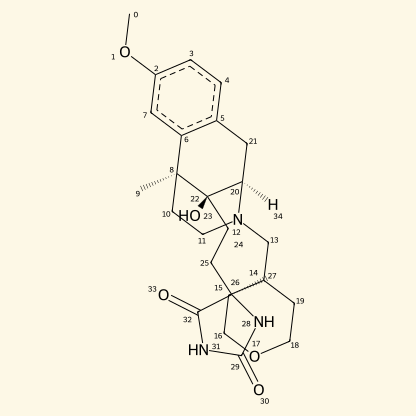 COc1ccc2c(c1)[C@]1(C)CCN(CC3CCOCC3)[C@H](C2)[C@]1(O)CC[C@@]1(C)NC(=O)NC1=O